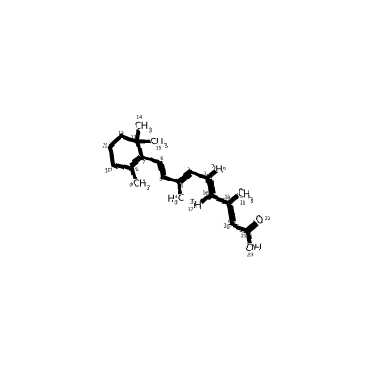 [3H]C(C=C(C)C=CC1=C(C)CCCC1(C)C)=C([3H])C(C)=CC(=O)O